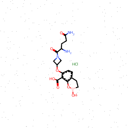 Cl.NC(=O)CCC(N)C(=O)N1CC(Oc2ccc3c(c2C(=O)O)OB(O)CC3)C1